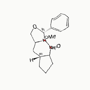 COC1NC23CCC[C@@H]2CC12CO[C@H](c1ccccc1)N2C3=O